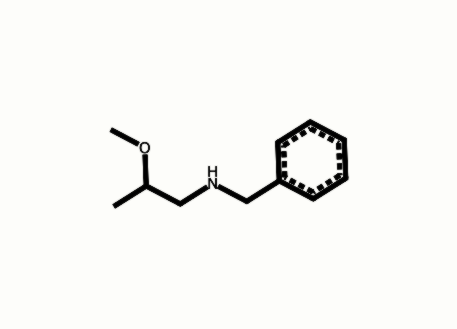 COC(C)CNCc1ccccc1